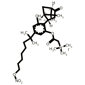 CC(C)(CCCCCCO[N+](=O)[O-])c1cc(O)c([C@H]2CC(=O)[C@@H]3C[C@@H]2C3(C)C)c(OC(=O)C[N+](C)(C)C)c1.[I-]